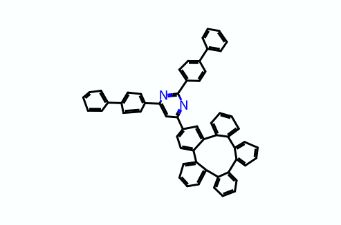 c1ccc(-c2ccc(-c3cc(-c4ccc5c6ccccc6c6ccccc6c6ccccc6c6ccccc6c5c4)nc(-c4ccc(-c5ccccc5)cc4)n3)cc2)cc1